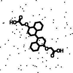 O=C(O)COC1CCC(C2CCC(OCC(=O)O)C3CCCCC32)C2CCCCC12